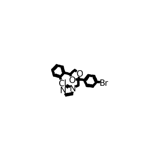 Clc1ccccc1C1COC(Cn2ccnc2)(c2ccc(Br)cc2)O1